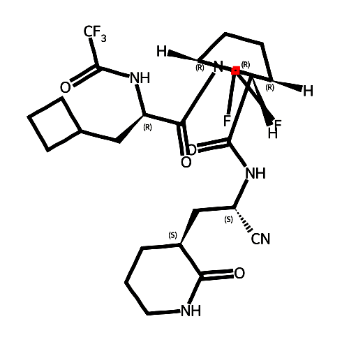 N#C[C@H](C[C@@H]1CCCNC1=O)NC(=O)[C@H]1[C@H]2CC[C@H](CC2(F)F)N1C(=O)[C@@H](CC1CCC1)NC(=O)C(F)(F)F